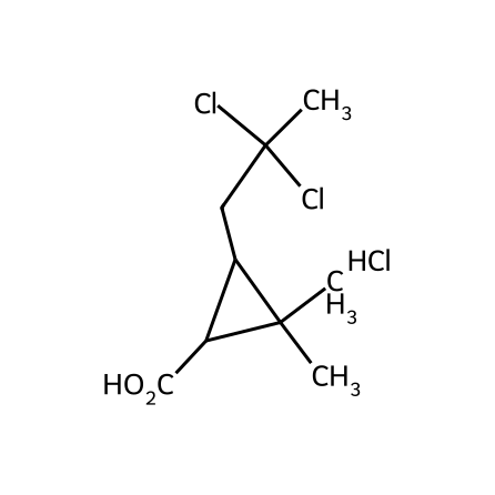 CC(Cl)(Cl)CC1C(C(=O)O)C1(C)C.Cl